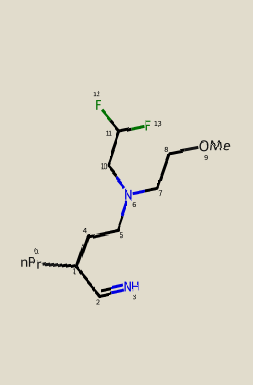 CCCC(C=N)CCN(CCOC)CC(F)F